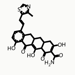 Cc1ncsc1/C=C/c1ccc(O)c2c1CC1CC3CC(O)=C(C(N)=O)C(=O)C3C(O)=C1C2=O